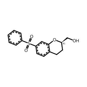 O=S(=O)(c1ccccc1)c1ccc2c(c1)O[C@@H](CO)CC2